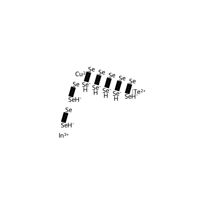 [Cu+2].[In+3].[Se]=[SeH-].[Se]=[SeH-].[Se]=[SeH-].[Se]=[SeH-].[Se]=[SeH-].[Se]=[SeH-].[Se]=[SeH-].[Te+2]